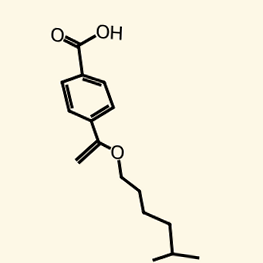 C=C(OCCCCC(C)C)c1ccc(C(=O)O)cc1